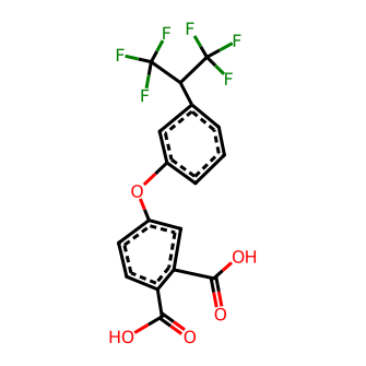 O=C(O)c1ccc(Oc2cccc(C(C(F)(F)F)C(F)(F)F)c2)cc1C(=O)O